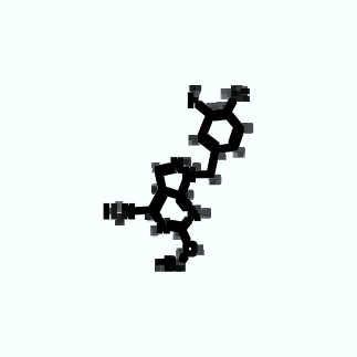 CCCCOc1nc(N)c2cnn(Cc3ccc(CC)c(F)c3)c2n1